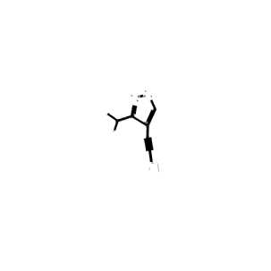 CC#CC1=C[N]N=C1C(F)F